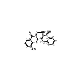 C#CCN(C(=O)c1cccc(C#N)c1)C(C)/C(=N/C=N)Nc1ncccn1